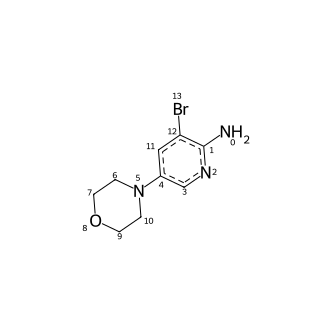 Nc1ncc(N2CCOCC2)cc1Br